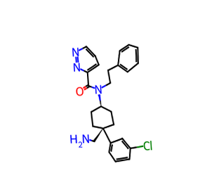 NC[C@]1(c2cccc(Cl)c2)CC[C@H](N(CCc2ccccc2)C(=O)c2cccnn2)CC1